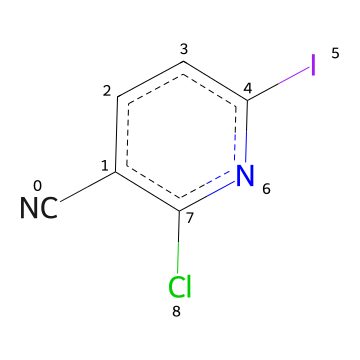 N#Cc1ccc(I)nc1Cl